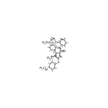 COc1ccc(Cc2nc3c(=O)n(-c4cccnc4C)c4cc(C(C)C)ccc4c3n2C)cc1